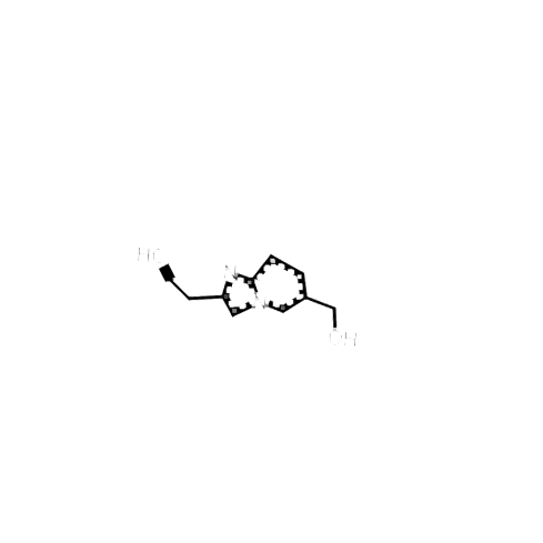 C#CCc1cn2cc(CO)ccc2n1